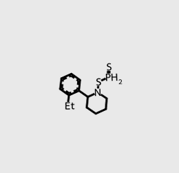 CCc1ccccc1C1CCCCN1S[PH2]=S